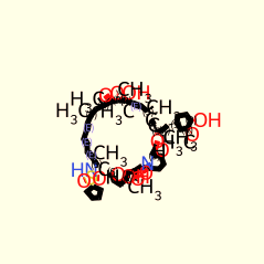 CO[C@@H]1C[C@H](C[C@@H](C)[C@@H]2CC[C@H](C)/C=C(\C)[C@@H](O)[C@@H](OC)C(=O)[C@H](C)C[C@H](C)/C=C/C=C/C=C(\C)[C@@H](NS(=O)(=O)C3CCCC3)C[C@@H]3CC[C@@H](C)[C@@](O)(O3)C(=O)C(=O)N3CCCC[C@H]3C(=O)O2)CC[C@H]1O